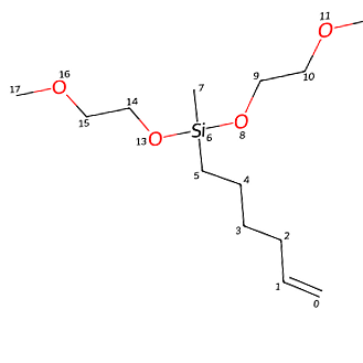 C=CCCCC[Si](C)(OCCOC)OCCOC